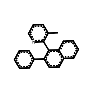 Cc1cccnc1-c1c(-c2ccccc2)ccc2ccccc12